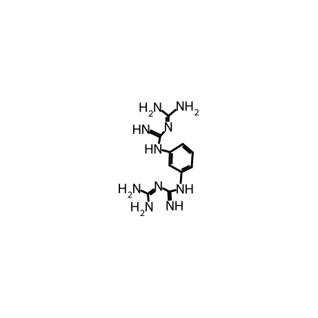 N=C(N=C(N)N)Nc1cccc(NC(=N)N=C(N)N)c1